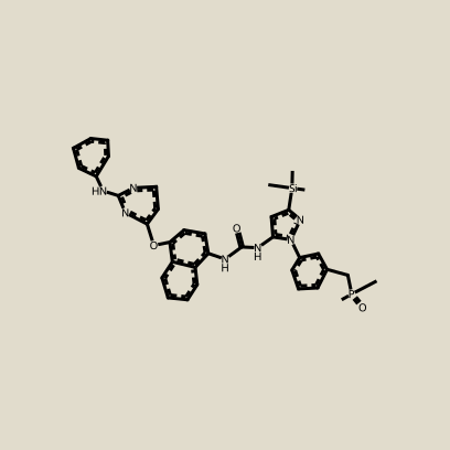 C[Si](C)(C)c1cc(NC(=O)Nc2ccc(Oc3ccnc(Nc4ccccc4)n3)c3ccccc23)n(-c2cccc(CP(C)(C)=O)c2)n1